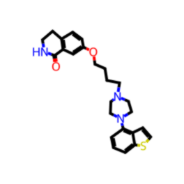 O=C1NCCc2ccc(OCCCCN3CCN(c4cccc5sccc45)CC3)cc21